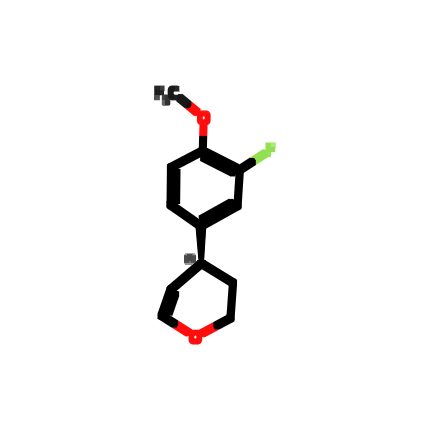 Fc1cc([C@@H]2C=COCC2)ccc1OC(F)(F)F